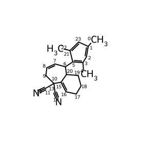 Cc1cc(C)c(C2C=CCC(C#N)(C#N)C3=CCCCC32)c(C)c1